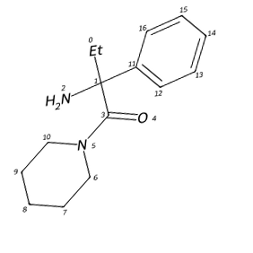 [CH2]CC(N)(C(=O)N1CCCCC1)c1ccccc1